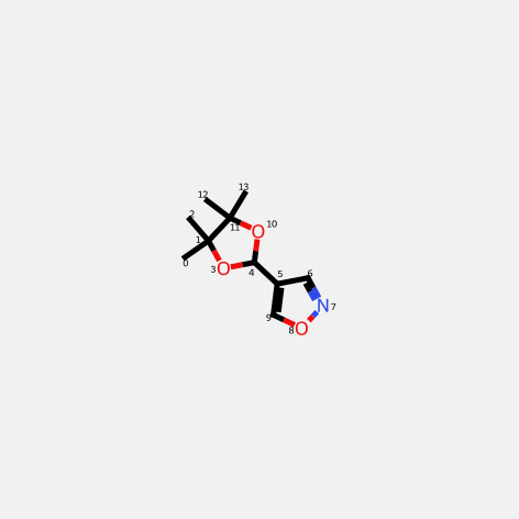 CC1(C)OC(c2cnoc2)OC1(C)C